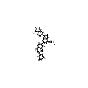 NC(=O)C1CCC(c2ncc3c(N)nc(-c4ccc5ncc(-c6ccccc6)nc5c4)cn23)CC1